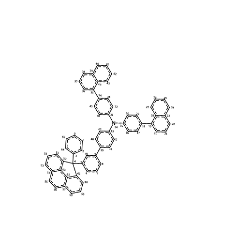 c1ccc(C2(c3cccc(-c4ccc(N(c5ccc(-c6cccc7ccccc67)cc5)c5ccc(-c6cccc7ccccc67)cc5)cc4)c3)c3cccc4ccc5cccc2c5c34)cc1